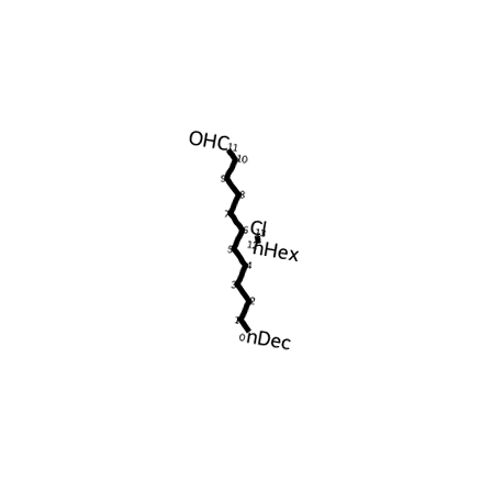 CCCCCCCCCCCCCCCCCCCCC=O.CCCCCCCl